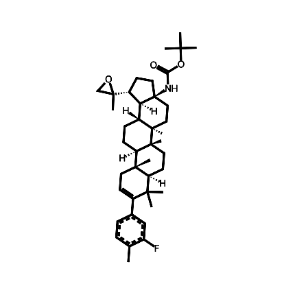 Cc1ccc(C2=CC[C@]3(C)[C@H]4CC[C@@H]5[C@H]6[C@H](C7(C)CO7)CC[C@]6(NC(=O)OC(C)(C)C)CC[C@@]5(C)[C@]4(C)CC[C@H]3C2(C)C)cc1F